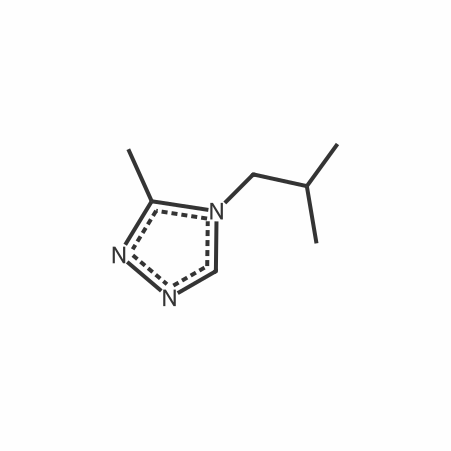 Cc1nncn1CC(C)C